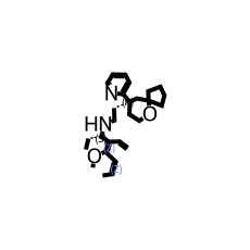 C=C/C(=C(\C=C/C)OC)[C@H](CC)NCC[C@@]1(c2ccccn2)CCOC2(CCCC2)C1